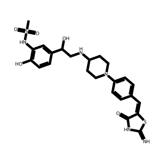 CS(=O)(=O)Nc1cc(C(O)CNC2CCN(c3ccc(C=C4SC(=N)NC4=O)cc3)CC2)ccc1O